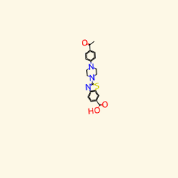 CC(=O)c1ccc(N2CCN(c3nc4ccc(C(=O)O)cc4s3)CC2)cc1